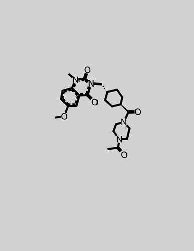 COc1ccc2c(c1)c(=O)n(C[C@H]1CC[C@H](C(=O)N3CCN(C(C)=O)CC3)CC1)c(=O)n2C